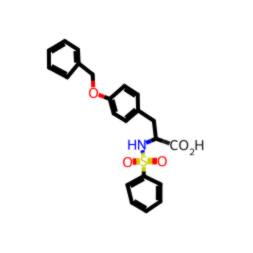 O=C(O)C(Cc1ccc(OCc2ccccc2)cc1)NS(=O)(=O)c1ccccc1